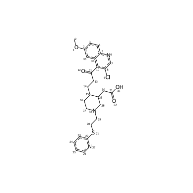 COc1ccc2ncc(Cl)c(C(=O)CCC3CCN(CCSc4ccccn4)CC3CC(=O)O)c2c1